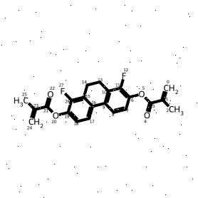 C=C(C)C(=O)Oc1ccc2c(c1F)CCc1c-2ccc(OC(=O)C(=C)C)c1F